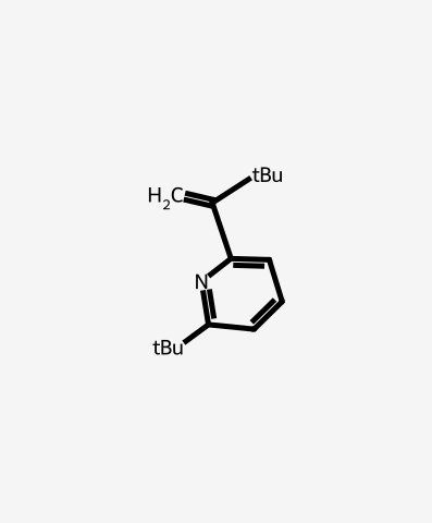 C=C(c1cccc(C(C)(C)C)n1)C(C)(C)C